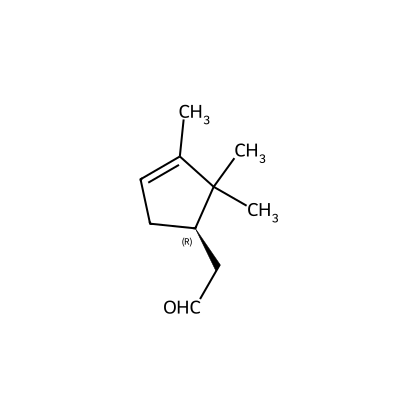 CC1=CC[C@H](CC=O)C1(C)C